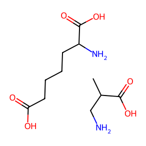 CC(CN)C(=O)O.NC(CCCCC(=O)O)C(=O)O